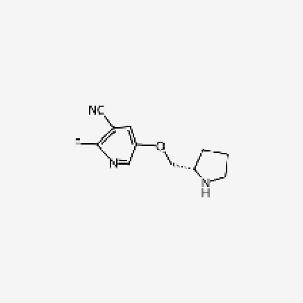 N#Cc1cc(OC[C@@H]2CCCN2)cnc1F